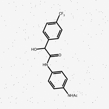 CC(=O)Nc1ccc(NC(=O)C(O)c2ccc(C(F)(F)F)cc2)cc1